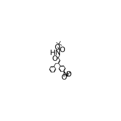 CC(C)(C)OC(=O)NCC(=O)/C=C(\Cc1ccccc1)c1ccc([N+](=O)[O-])cc1